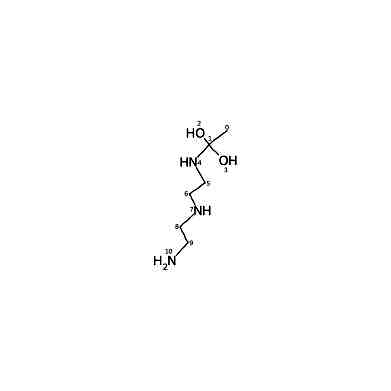 CC(O)(O)NCCNCCN